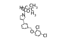 CC(C)(C)OC(=O)N1CC=C(c2cccc(COc3ccc(Cl)cc3Cl)c2)C1